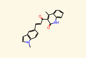 Cc1c(C(=O)C=Cc2ccc3c(ccn3C)c2)c(=O)[nH]c2ccccc12